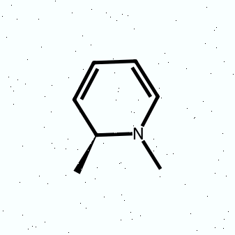 C[C@H]1C=CC=CN1C